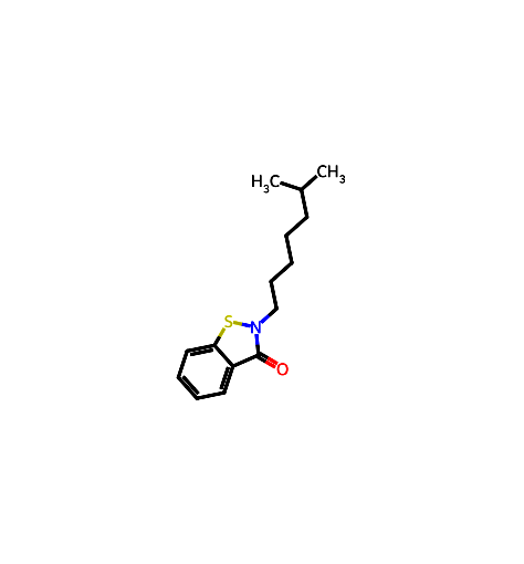 CC(C)CCCCCn1sc2ccccc2c1=O